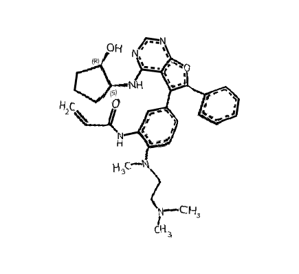 C=CC(=O)Nc1cc(-c2c(-c3ccccc3)oc3ncnc(N[C@H]4CCC[C@H]4O)c23)ccc1N(C)CCN(C)C